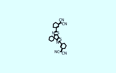 N#CC(C#N)=C1C=C(c2nc3c(s2)-c2sc(C4=CC(=C(C#N)C#N)CCC4)nc2C32CCCCC2)CCC1